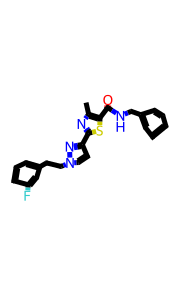 Cc1nc(-c2ccn(CCc3cccc(F)c3)n2)sc1C(=O)NCc1ccccc1